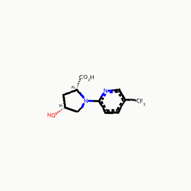 O=C(O)[C@H]1C[C@@H](O)CN1c1ccc(C(F)(F)F)cn1